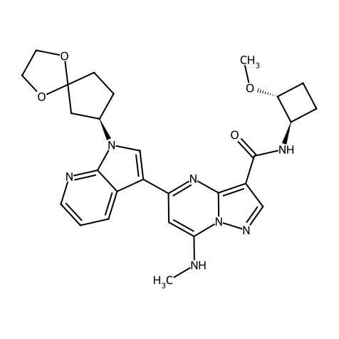 CNc1cc(-c2cn([C@@H]3CCC4(C3)OCCO4)c3ncccc23)nc2c(C(=O)N[C@@H]3CC[C@H]3OC)cnn12